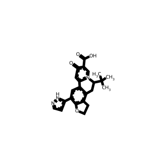 CC(C)(C)C1Cc2c(cc(-c3ccn[nH]3)c3c2CCO3)-c2cc(=O)c(C(=O)O)cn21